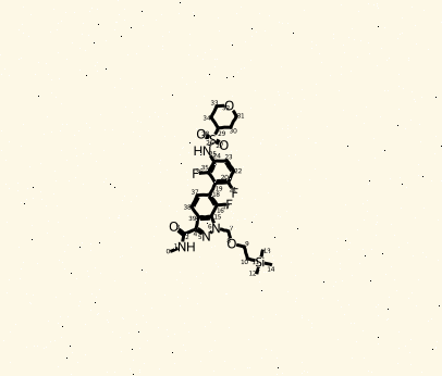 CNC(=O)c1nn(COCC[Si](C)(C)C)c2c(F)c(-c3c(F)ccc(NS(=O)(=O)C4CCOCC4)c3F)ccc12